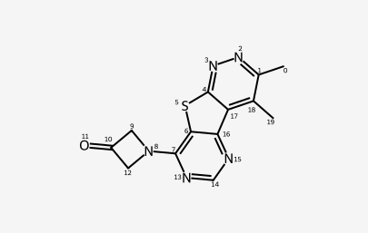 Cc1nnc2sc3c(N4CC(=O)C4)ncnc3c2c1C